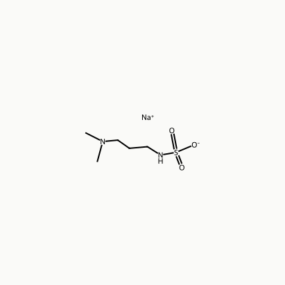 CN(C)CCCNS(=O)(=O)[O-].[Na+]